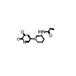 C=CC(=O)N[C@@H]1CCCN(C2=CC(=O)C(=O)N=C2)C1